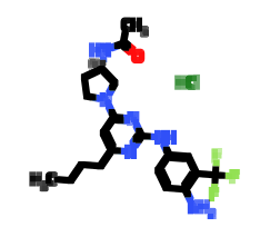 CCCCc1cc(N2CC[C@H](NC(C)=O)C2)nc(Nc2ccc(N)c(C(F)(F)F)c2)n1.Cl